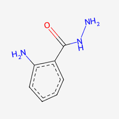 NNC(=O)c1ccccc1N